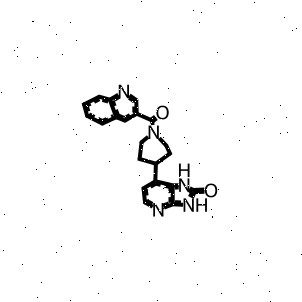 O=C(c1cnc2ccccc2c1)N1CCC(c2ccnc3[nH]c(=O)[nH]c23)CC1